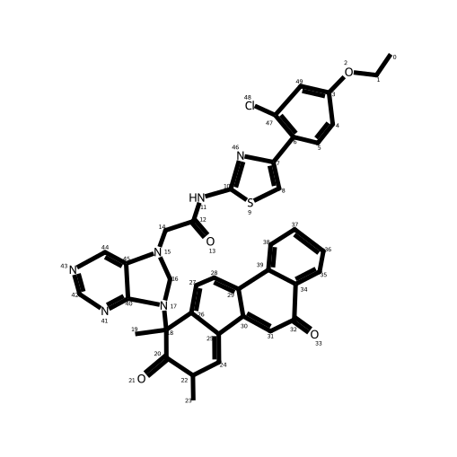 CCOc1ccc(-c2csc(NC(=O)CN3CN(C4(C)C(=O)C(C)C=c5c4ccc4c5=CC(=O)c5ccccc5-4)c4ncncc43)n2)c(Cl)c1